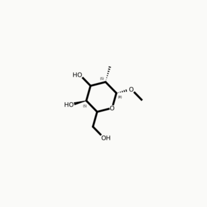 CO[C@@H]1OC(CO)[C@@H](O)C(O)[C@@H]1C